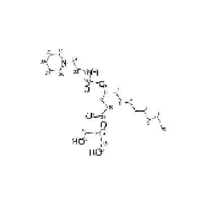 CCCCCCCCC(CCC(=O)OC(CO)CO)OC(=O)NCCN1CCCCC1